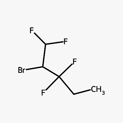 CCC(F)(F)C(Br)C(F)F